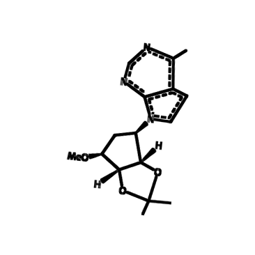 CO[C@H]1C[C@@H](n2ccc3c(C)ncnc32)[C@@H]2OC(C)(C)O[C@@H]21